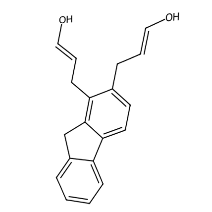 OC=CCc1ccc2c(c1CC=CO)Cc1ccccc1-2